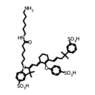 CC(C)(C/C=C/C1=C(Oc2ccc(S(=O)(=O)O)cc2)C(=C/C=C2/N(CCCCCC(=O)NCCCCCCN)c3ccc(S(=O)(=O)O)cc3C2(C)C)/CCC1)c1cccc(S(=O)(=O)O)c1